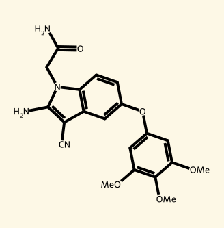 COc1cc(Oc2ccc3c(c2)c(C#N)c(N)n3CC(N)=O)cc(OC)c1OC